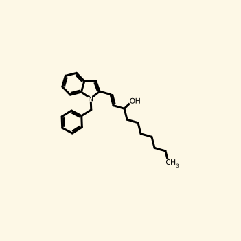 CCCCCCCC(O)C=Cc1cc2ccccc2n1Cc1ccccc1